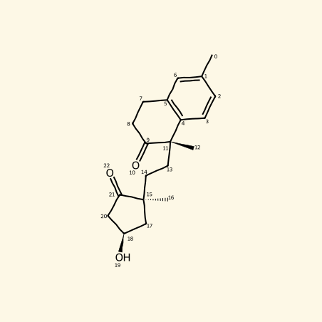 Cc1ccc2c(c1)CCC(=O)[C@@]2(C)CC[C@@]1(C)C[C@@H](O)CC1=O